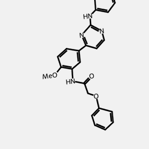 COc1ccc(-c2ccnc(Nc3ccccc3)n2)cc1NC(=O)COc1ccccc1